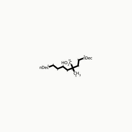 CCCCCCCCCCCCCCC(C)(CCCCCCCCCCCC)C(=O)O